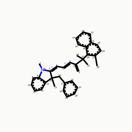 C=C(/C=C/C=C1/N(C)c2ccccc2C1(C)Cc1ccccc1)C(C)(C)c1c(C)ccc2ccccc12